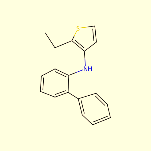 CCc1sccc1Nc1ccccc1-c1ccccc1